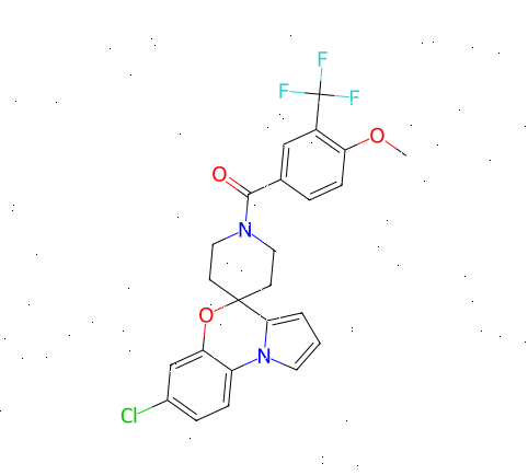 COc1ccc(C(=O)N2CCC3(CC2)Oc2cc(Cl)ccc2-n2cccc23)cc1C(F)(F)F